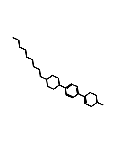 CCCCCCCCCC1CCC(c2ccc(C3=CCC(C)CC3)cc2)CC1